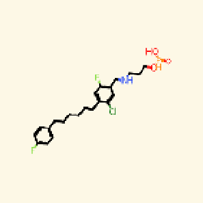 O=[PH](O)OCCCNCc1cc(Cl)c(CCCCCCc2ccc(F)cc2)cc1F